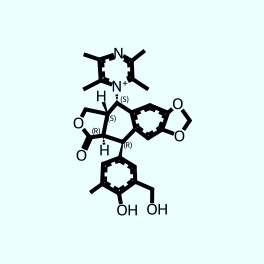 Cc1cc([C@@H]2c3cc4c(cc3[C@@H]([n+]3c(C)c(C)nc(C)c3C)[C@H]3COC(=O)[C@H]23)OCO4)cc(CO)c1O